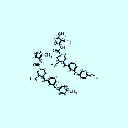 Cc1ccc(Oc2cccc(/C=C3\CCN(C(=O)Nc4onc(C)c4C)CC3C)c2)cn1.Cc1ccc(Oc2cccc(C=C3CCN(C(=O)Nc4cnoc4C)CC3C)c2)cn1